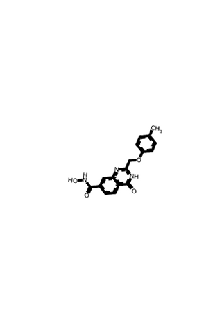 Cc1ccc(OCc2nc3cc(C(=O)NO)ccc3c(=O)[nH]2)cc1